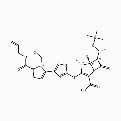 C=CCOC(=O)N1CC=C(c2csc(SC3=C(C(=O)O)N4C(=O)[C@H]([C@@H](C)O[Si](C)(C)C)[C@H]4[C@H]3C)n2)[C@H]1CCl